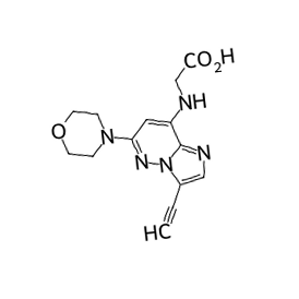 C#Cc1cnc2c(NCC(=O)O)cc(N3CCOCC3)nn12